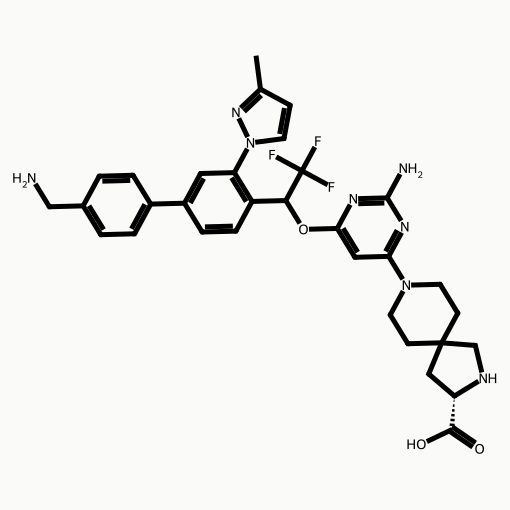 Cc1ccn(-c2cc(-c3ccc(CN)cc3)ccc2C(Oc2cc(N3CCC4(CC3)CN[C@H](C(=O)O)C4)nc(N)n2)C(F)(F)F)n1